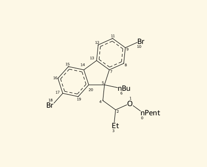 CCCCCOC(CC)CC1(CCCC)c2cc(Br)ccc2-c2ccc(Br)cc21